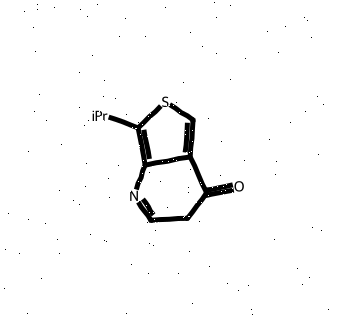 CC(C)c1scc2c1N=CCC2=O